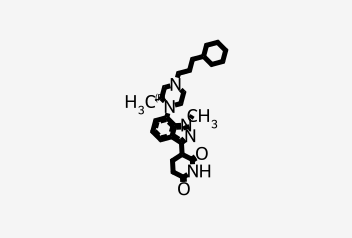 C[C@@H]1CN(CCCC2CCCCC2)CCN1c1cccc2c(C3CCC(=O)NC3=O)nn(C)c12